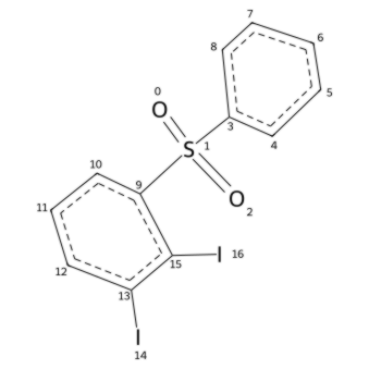 O=S(=O)(c1ccccc1)c1cccc(I)c1I